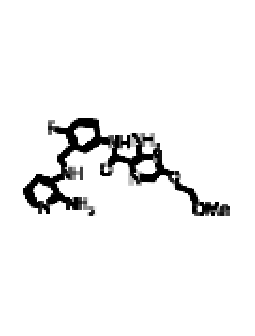 COCCOc1cnc(C(=O)Nc2ccc(F)c(CNc3cccnc3N)c2)c(N)n1